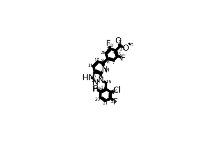 COC(=O)c1c(F)cc(-c2ccc3c(n2)N(Cc2c(F)ccc(F)c2Cl)NN3)cc1F